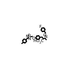 CC(=NOCc1ccc(F)cc1)C(Cc1ccc(OCc2nc(-c3ccc(C)cc3)no2)cc1)C(=O)O